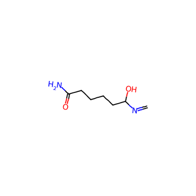 C=NC(O)CCCCC(N)=O